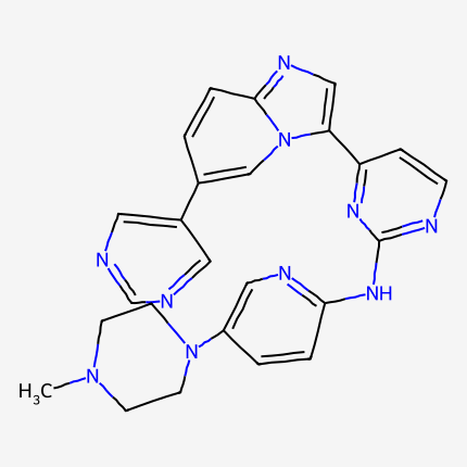 CN1CCN(c2ccc(Nc3nccc(-c4cnc5ccc(-c6cncnc6)cn45)n3)nc2)CC1